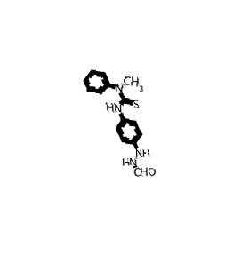 CN(C(=S)Nc1ccc(NNC=O)cc1)c1ccccc1